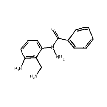 NCc1c(N)cccc1N(N)C(=O)c1ccccc1